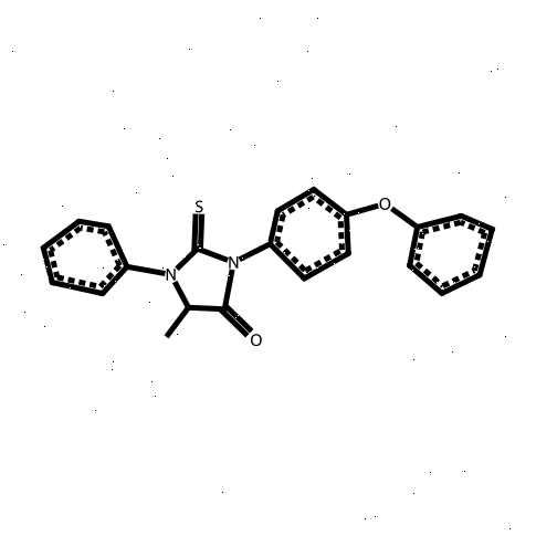 CC1C(=O)N(c2ccc(Oc3ccccc3)cc2)C(=S)N1c1ccccc1